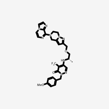 COc1ccc(Cn2ncc(N[C@@H](C)COCc3cc4n(n3)CCN(c3nccn5ccnc35)C4)c(C(F)(F)F)c2=O)cc1